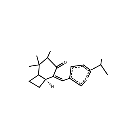 CC(C)c1ccc(/C=C2\C(=O)C(C)C(C)(C)C3CC[C@H]23)cc1